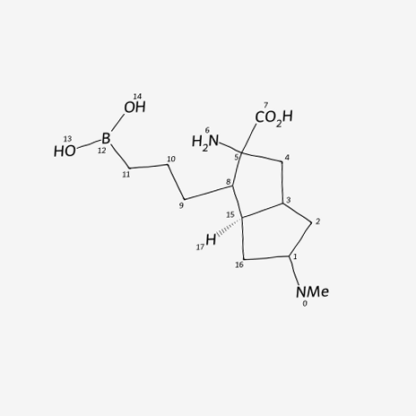 CNC1CC2CC(N)(C(=O)O)C(CCCB(O)O)[C@@H]2C1